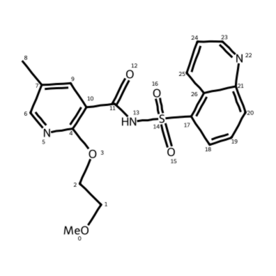 COCCOc1ncc(C)cc1C(=O)NS(=O)(=O)c1cccc2ncccc12